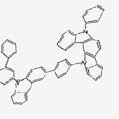 c1ccc(-c2cccc(-n3c4ccccc4c4cc(-c5ccc(-n6c7ccccc7c7ccc8c(c9ccccc9n8-c8ccccc8)c76)cc5)ccc43)c2)cc1